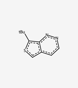 CC(C)(C)c1scc2ccnnc12